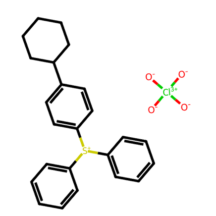 [O-][Cl+3]([O-])([O-])[O-].c1ccc([S+](c2ccccc2)c2ccc(C3CCCCC3)cc2)cc1